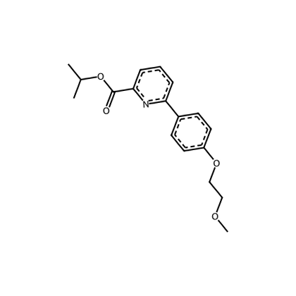 COCCOc1ccc(-c2cccc(C(=O)OC(C)C)n2)cc1